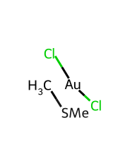 CSC.[Cl][Au][Cl]